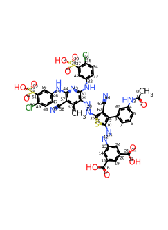 CC(=O)Nc1cccc(-c2c(N=Nc3cc(C(=O)O)cc(C(=O)O)c3)sc(N=Nc3c(Nc4ccc(Cl)c(S(=O)(=O)O)c4)nc(Nc4ccc(Cl)c(S(=O)(=O)O)c4)c(C#N)c3C)c2C#N)c1